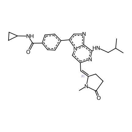 CC(C)CNc1nc(/C=C2\CCC(=O)N2C)cn2c(-c3ccc(C(=O)NC4CC4)cc3)cnc12